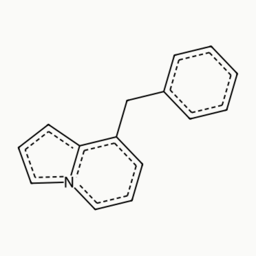 c1ccc(Cc2cccn3cccc23)cc1